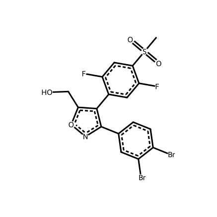 CS(=O)(=O)c1cc(F)c(-c2c(-c3ccc(Br)c(Br)c3)noc2CO)cc1F